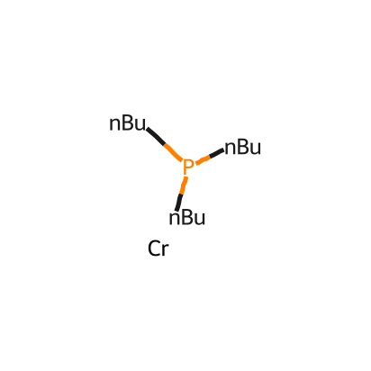 CCCCP(CCCC)CCCC.[Cr]